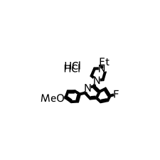 CCN1CCN(c2nc(-c3ccc(OC)cc3)cc3ccc(F)cc23)CC1.Cl.Cl